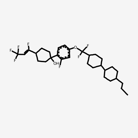 CCCC1CCC(C2CCC(C(F)(F)Oc3ccc(C4(O)CCC(/C(F)=C/C(F)(F)F)CC4)c(F)c3)CC2)CC1